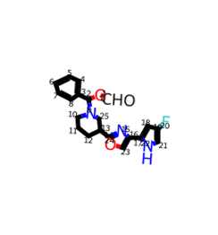 O=COC(c1ccccc1)N1CCCC(c2nc(-c3cc(F)c[nH]3)co2)C1